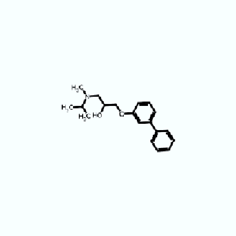 CC(C)N(C)CC(O)COc1cccc(-c2ccccc2)c1